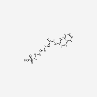 C[C@@H](COc1ccc2ccccc2c1)OCCOCCCS(=O)(=O)O